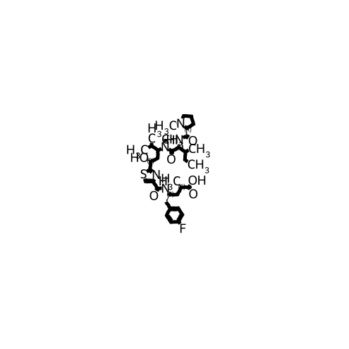 CCC(C)[C@H](NC(=O)[C@H]1CCCN1C)C(=O)N(C)C(C[C@@H](O)c1nc(C(=O)N[C@@H](Cc2ccc(F)cc2)C[C@H](C)C(=O)O)cs1)C(C)C